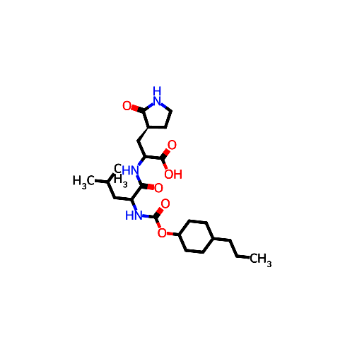 CCCC1CCC(OC(=O)NC(CC(C)C)C(=O)NC(C[C@@H]2CCNC2=O)C(=O)O)CC1